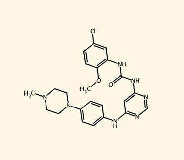 COc1ccc(Cl)cc1NC(=O)Nc1cc(Nc2ccc(N3CCN(C)CC3)cc2)ncn1